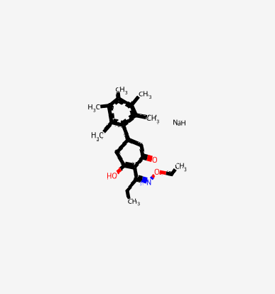 CCO/N=C(/CC)C1=C(O)CC(c2c(C)c(C)c(C)c(C)c2C)CC1=O.[NaH]